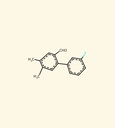 Cc1cc(C=O)c(-c2cccc(F)c2)cc1C